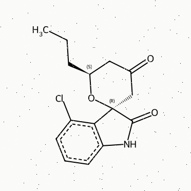 CCC[C@H]1CC(=O)C[C@]2(O1)C(=O)Nc1cccc(Cl)c12